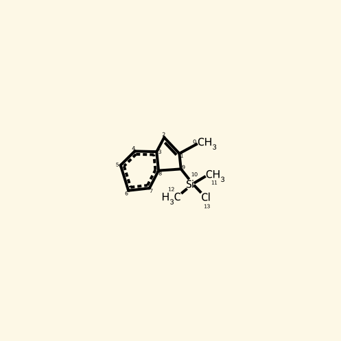 CC1=Cc2ccccc2C1[Si](C)(C)Cl